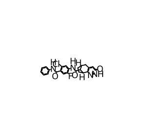 O=C(Nc1ccccc1)c1cc(F)c(NC(=O)C2[C@H]3CC[C@H]2c2n[nH]c(=O)cc2C3)cc1Cl